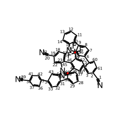 N#Cc1ccc(-c2ccc3c4ccccc4n(-c4cc(C#N)cc(-n5c6ccccc6c6ccc(-c7ccc(C#N)cc7)cc65)c4-c4c(C#N)cccc4C(F)(F)F)c3c2)cc1